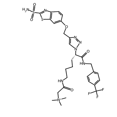 C[N+](C)(C)CC(=O)NCCCC[C@@H](C(=O)NCc1ccc(C(F)(F)F)cc1)n1cc(COc2ccc3nc(S(N)(=O)=O)sc3c2)nn1